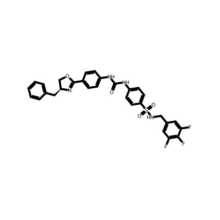 O=C(Nc1ccc(C2=N[C@@H](Cc3ccccc3)CO2)cc1)Nc1ccc(S(=O)(=O)NCc2cc(F)c(F)c(F)c2)cc1